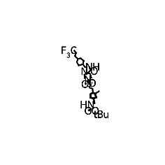 Cc1cc(CNC(=O)OC(C)(C)C)ccc1CCS(=O)(=O)N1CCC2(CC1)N=C(C1CCC(CCC(F)(F)F)CC1)NC2=O